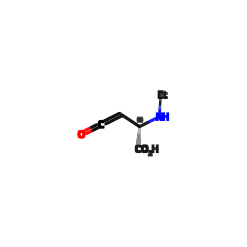 CCN[C@@H](C=C=O)C(=O)O